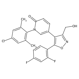 Cc1cc(Cl)cc(C)c1-n1cc(-c2c(CO)noc2-c2ccc(F)cc2F)ccc1=O